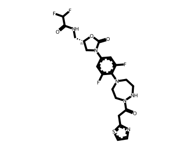 O=C(NC[C@H]1CN(c2cc(F)c(N3CCNN(C(=O)Cc4nccs4)CC3)c(F)c2)C(=O)O1)C(F)F